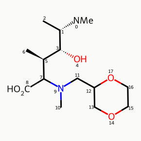 CN[C@@H](C)[C@H](O)[C@H](C)C(C(=O)O)N(C)CC1COCCO1